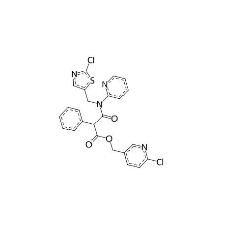 O=C(OCc1ccc(Cl)nc1)C(C(=O)N(Cc1cnc(Cl)s1)c1ccccn1)c1ccccc1